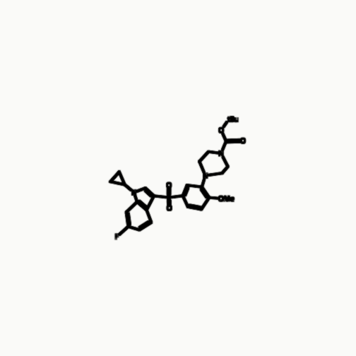 COc1ccc(S(=O)(=O)c2cn(C3CC3)c3cc(F)ccc23)cc1N1CCN(C(=O)OC(C)(C)C)CC1